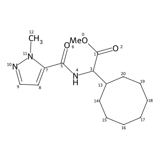 COC(=O)C(NC(=O)c1ccnn1C)C1CCCCCCC1